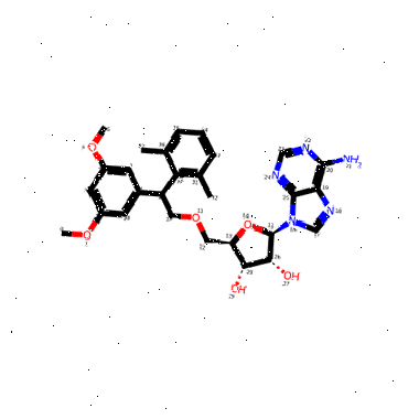 COc1cc(OC)cc(C(COC[C@H]2O[C@@H](n3cnc4c(N)ncnc43)[C@H](O)[C@@H]2O)c2c(C)cccc2C)c1